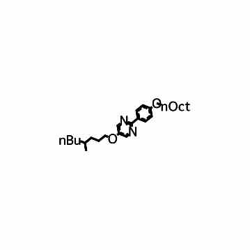 CCCCCCCCOc1ccc(-c2ncc(OCCCC(C)CCCC)cn2)cc1